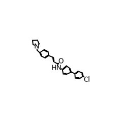 O=C(/C=C/c1ccc(CN2CCCC2)cc1)Nc1ccc(-c2ccc(Cl)cc2)cc1